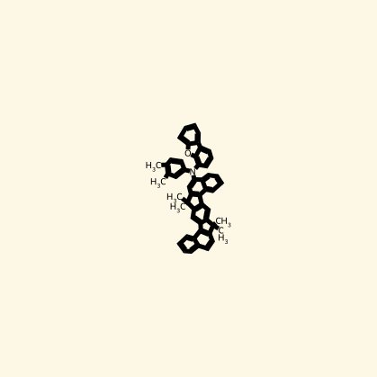 Cc1ccc(N(c2cc3c(c4ccccc24)-c2cc4c(cc2C3(C)C)-c2c(ccc3ccccc23)C4(C)C)c2cccc3c2oc2ccccc23)cc1C